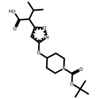 CC(C)C(C(=O)O)c1cc(OC2CCN(C(=O)OC(C)(C)C)CC2)no1